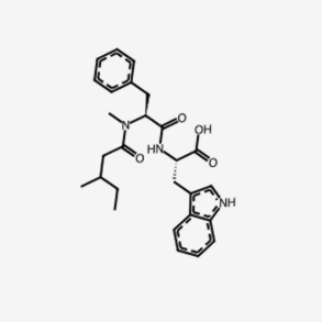 CCC(C)CC(=O)N(C)[C@@H](Cc1ccccc1)C(=O)N[C@@H](Cc1c[nH]c2ccccc12)C(=O)O